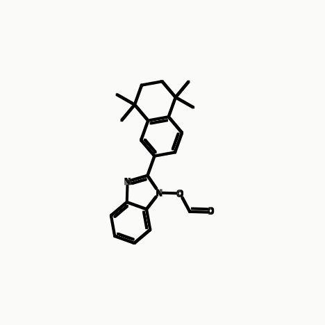 CC1(C)CCC(C)(C)c2cc(-c3nc4ccccc4n3OC=O)ccc21